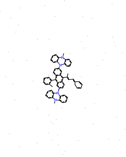 C/C(=C\C=C1\C=CC=CC1)c1c2cc(N3c4ccccc4N(C)c4ccccc43)ccc2c(-c2ccccc2C)c2cc(N3c4ccccc4N(C)c4ccccc43)ccc12